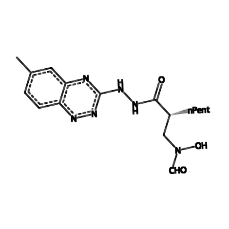 CCCCC[C@H](CN(O)C=O)C(=O)NNc1nnc2ccc(C)cc2n1